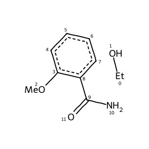 CCO.COc1ccccc1C(N)=O